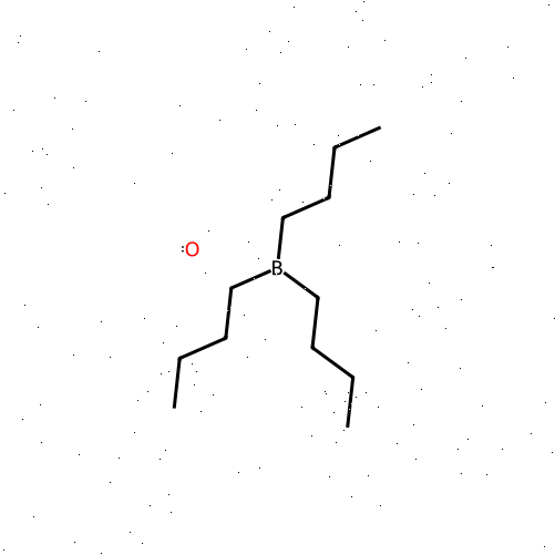 CCCCB(CCCC)CCCC.[O]